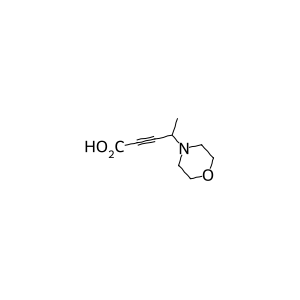 CC(C#CC(=O)O)N1CCOCC1